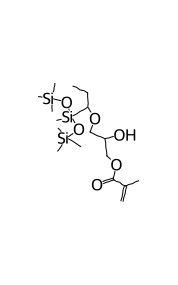 C=C(C)C(=O)OCC(O)COC(CC)[Si](C)(O[Si](C)(C)C)O[Si](C)(C)C